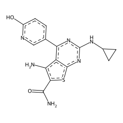 NC(=O)c1sc2nc(NC3CC3)nc(-c3ccc(O)nc3)c2c1N